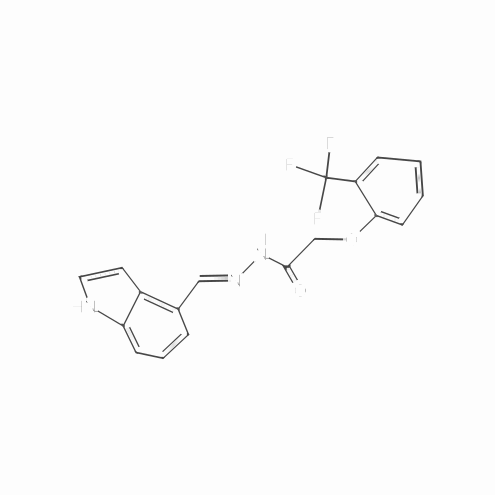 O=C(COc1ccccc1C(F)(F)F)NN=Cc1cccc2[nH]ccc12